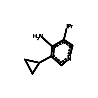 CC(C)c1cncc(C2CC2)c1N